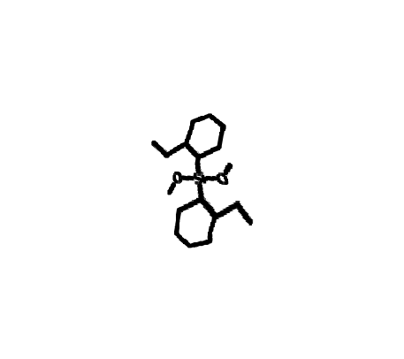 CCC1CCCCC1[Si](OC)(OC)C1CCCCC1CC